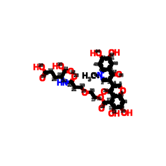 Cn1cc(-c2coc3cc(O)c(O)c(C(=O)OCCOCCC(=O)NC(CCC(=O)O)C(=O)O)c3c2=O)c(=O)c2cc(O)c(O)cc21